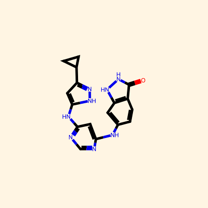 O=c1[nH][nH]c2cc(Nc3cc(Nc4cc(C5CC5)n[nH]4)ncn3)ccc12